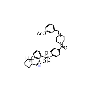 CC(=O)Oc1cccc(CN2CCN(C(=O)c3ccc(NS(=O)(=O)c4cccc(C)c4/N=C\C4CCCCC4)cc3)CC2)c1